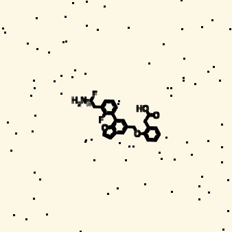 N[C@@H](F)Cc1cccc(-c2cc(COc3ccccc3CC(=O)O)cc3ccoc23)c1F